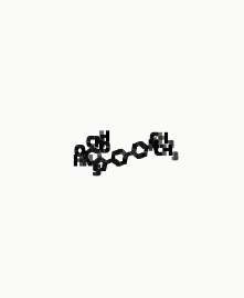 CN(C)c1ccc(-c2ccc(-c3csc4[nH]c(=O)c(C#N)c(O)c34)cc2)cc1